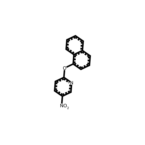 O=[N+]([O-])c1ccc(Oc2cccc3ccccc23)nc1